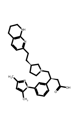 Cc1cc(C)n(-c2cccc([C@H](CC(=O)O)CN3CC[C@@H](CCc4ccc5c(n4)NCCC5)C3)c2)n1